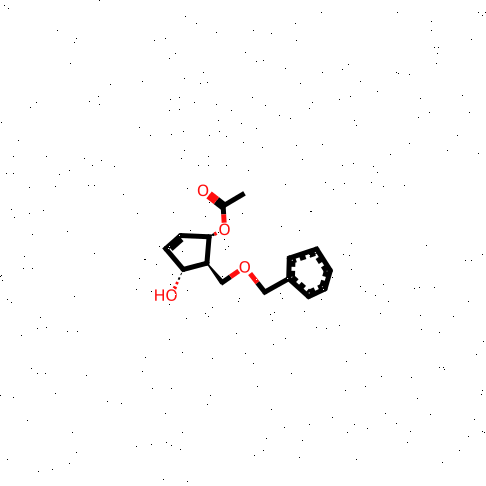 CC(=O)O[C@H]1C=C[C@@H](O)[C@@H]1COCc1ccccc1